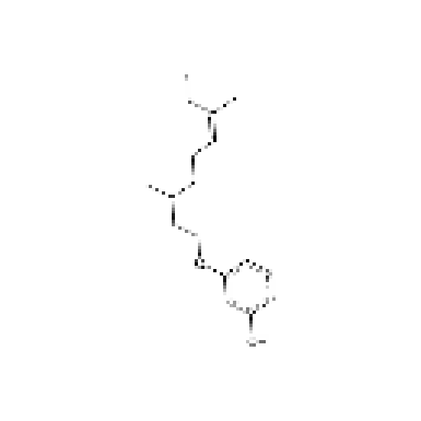 CCC(C)=CCCC(C)CCOc1cccc(O)c1